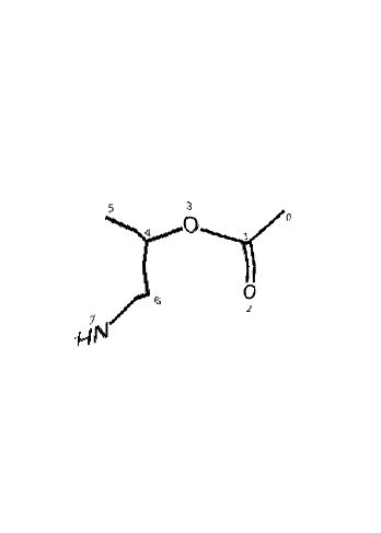 CC(=O)OC(C)C[NH]